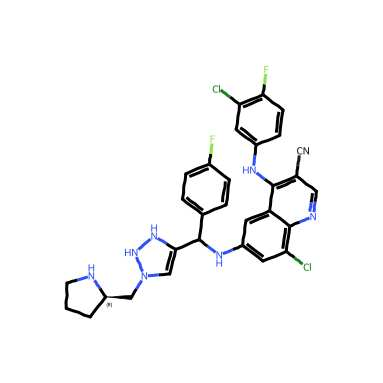 N#Cc1cnc2c(Cl)cc(NC(C3=CN(C[C@H]4CCCN4)NN3)c3ccc(F)cc3)cc2c1Nc1ccc(F)c(Cl)c1